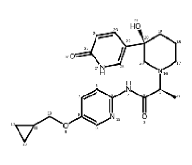 C[C@@H](C(=O)Nc1ccc(OCC2CC2)cn1)N1CCC[C@@](O)(c2ccc(=O)[nH]c2)C1